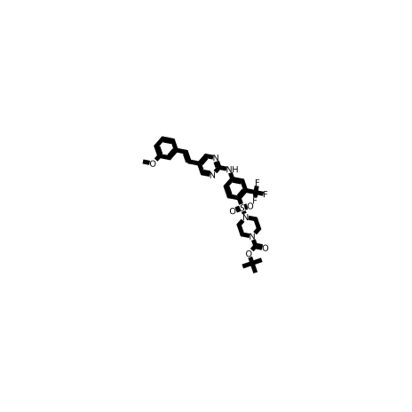 COc1cccc(/C=C/c2cnc(Nc3ccc(S(=O)(=O)N4CCN(C(=O)OC(C)(C)C)CC4)c(C(F)(F)F)c3)nc2)c1